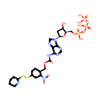 O=C(Nc1ncnc2c1ncn2[C@H]1CC(O)[C@@H](COP(=O)(O)OP(=O)(O)OP(=O)(O)O)O1)OCc1ccc(SSc2ccccn2)cc1[N+](=O)[O-]